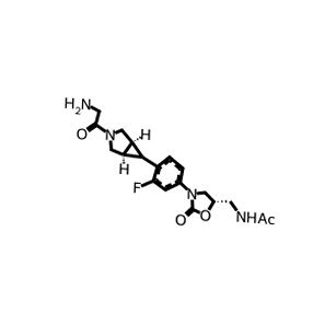 CC(=O)NC[C@H]1CN(c2ccc(C3[C@H]4CN(C(=O)CN)C[C@@H]34)c(F)c2)C(=O)O1